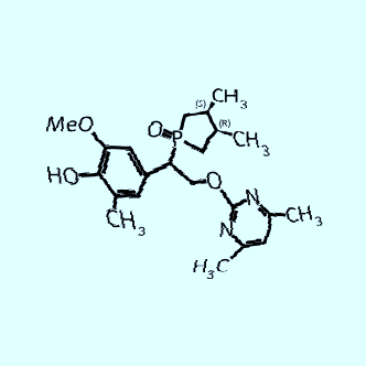 COc1cc(C(COc2nc(C)cc(C)n2)P2(=O)C[C@@H](C)[C@@H](C)C2)cc(C)c1O